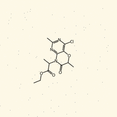 CCOC(=O)C(C)N1C(=O)C(C)Oc2c(Cl)nc(C)nc21